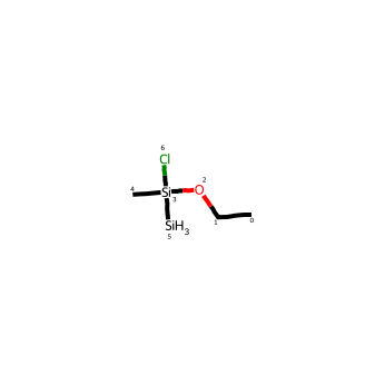 CCO[Si](C)([SiH3])Cl